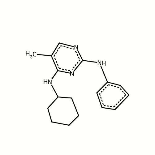 Cc1cnc(Nc2ccccc2)nc1NC1CCCCC1